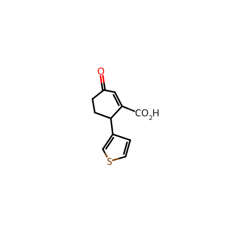 O=C1C=C(C(=O)O)C(c2ccsc2)CC1